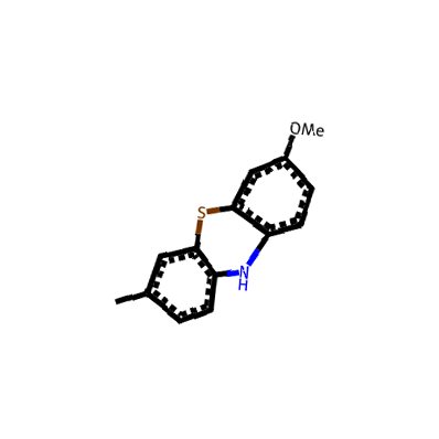 COc1ccc2c(c1)Sc1cc(C)ccc1N2